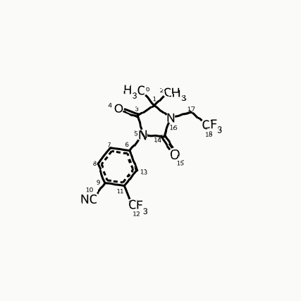 CC1(C)C(=O)N(c2ccc(C#N)c(C(F)(F)F)c2)C(=O)N1CC(F)(F)F